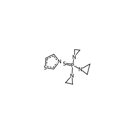 S=P(N1CC1)(N1CC1)N1CC1.c1cscn1